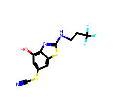 N#CSc1cc(O)c2nc(NCCC(F)(F)F)sc2c1